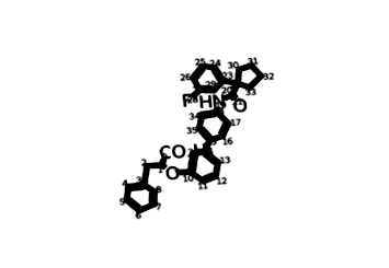 O=C(O)C(Cc1ccccc1)Oc1cccc(-c2ccc(NC(=O)C3(c4cccc(F)c4)CCCC3)cc2)c1